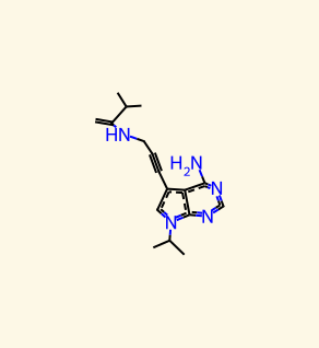 C=C(NCC#Cc1cn(C(C)C)c2ncnc(N)c12)C(C)C